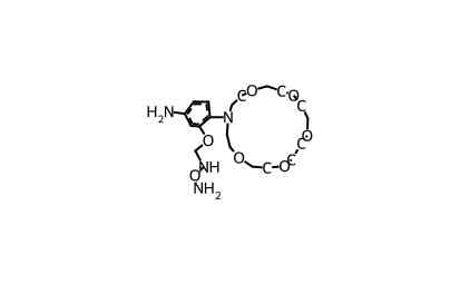 NONCOc1cc(N)ccc1N1CCOCCOCCOCCOCCOCC1